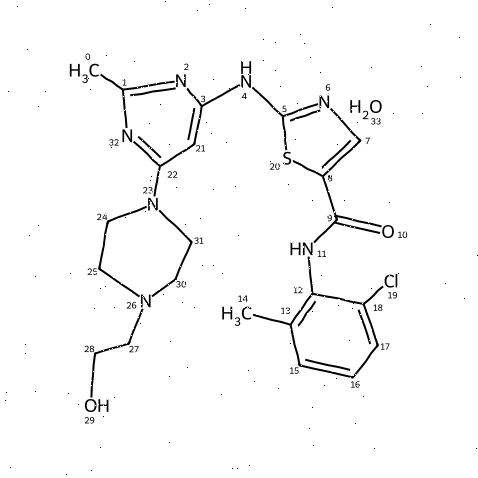 Cc1nc(Nc2ncc(C(=O)Nc3c(C)cccc3Cl)s2)cc(N2CCN(CCO)CC2)n1.O